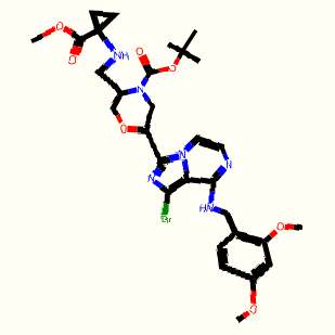 COC(=O)C1(NCC2COC(c3nc(Br)c4c(NCc5ccc(OC)cc5OC)nccn34)CN2C(=O)OC(C)(C)C)CC1